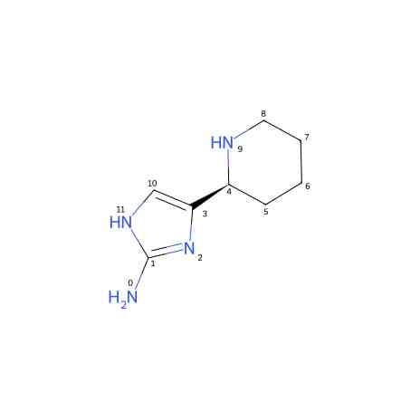 Nc1nc([C@@H]2CCCCN2)c[nH]1